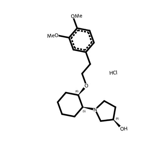 COc1ccc(CCO[C@@H]2CCCC[C@@H]2N2CC[C@@H](O)C2)cc1OC.Cl